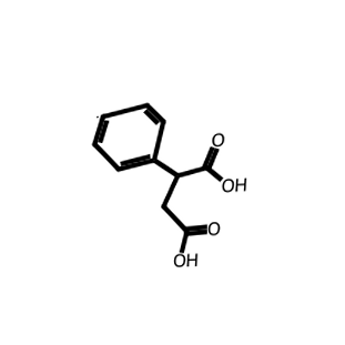 O=C(O)CC(C(=O)O)c1cc[c]cc1